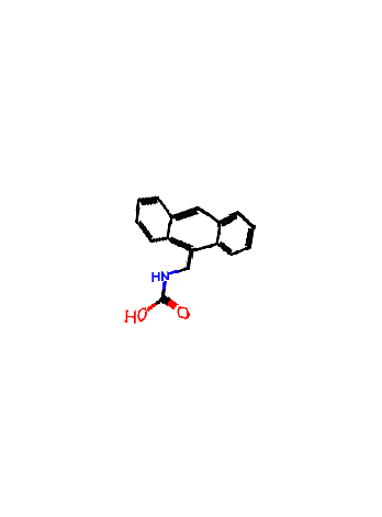 O=C(O)NCc1c2ccccc2cc2ccccc12